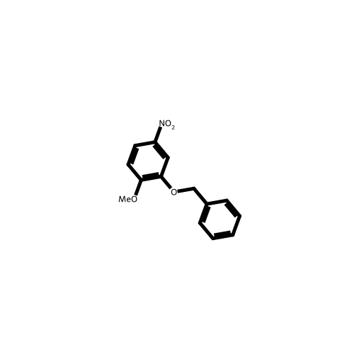 COc1ccc([N+](=O)[O-])cc1OCc1ccccc1